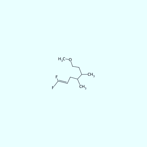 COCCC(C)C(C)CC=C(F)F